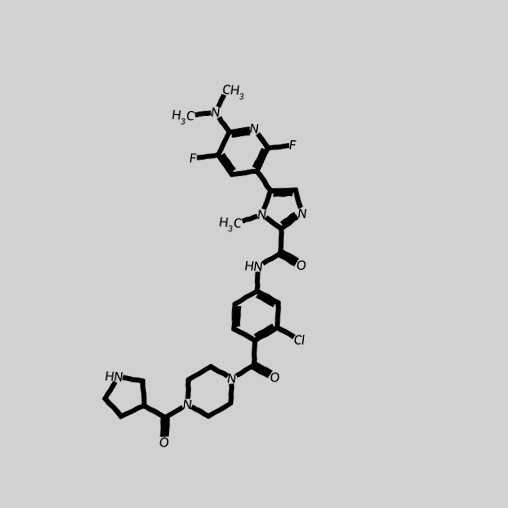 CN(C)c1nc(F)c(-c2cnc(C(=O)Nc3ccc(C(=O)N4CCN(C(=O)C5CCNC5)CC4)c(Cl)c3)n2C)cc1F